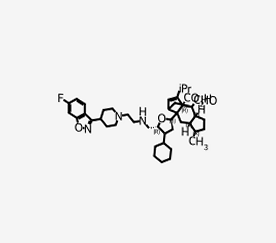 CC(C)C1=CC2CC3(C=O)[C@@H]4CC[C@@H](C)[C@H]4CC2([C@H]2CC(C4CCCCC4)[C@H](CNCCN4CCC(c5noc6cc(F)ccc56)CC4)O2)[C@]13C(=O)O